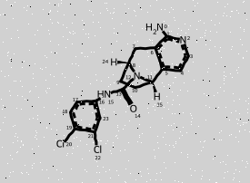 Nc1nccc2c1C[C@H]1CC[C@@H]2N1C(=O)Nc1ccc(Cl)c(Cl)c1